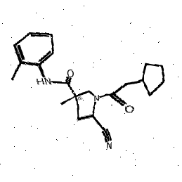 Cc1ccccc1NC(=O)[C@@]1(C)CC(C#N)N(C(=O)CC2CCCC2)C1